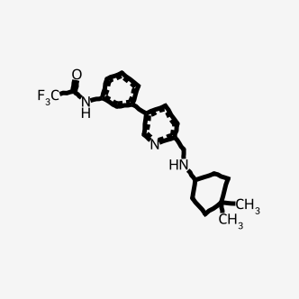 CC1(C)CCC(NCc2ccc(-c3cccc(NC(=O)C(F)(F)F)c3)cn2)CC1